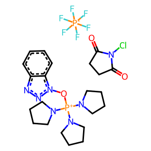 F[P-](F)(F)(F)(F)F.O=C1CCC(=O)N1Cl.c1ccc2c(c1)nnn2O[P+](N1CCCC1)(N1CCCC1)N1CCCC1